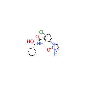 O=C(NC(O)C1CCCCC1)c1cc(-n2cc[nH]c2=O)ccc1Cl